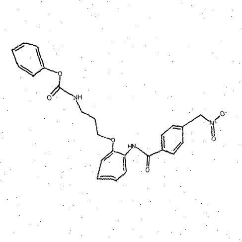 O=C(NCCCOc1ccccc1NC(=O)c1ccc(C[N+](=O)[O-])cc1)Oc1ccccc1